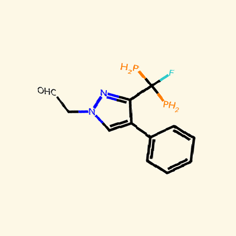 O=CCn1cc(-c2ccccc2)c(C(F)(P)P)n1